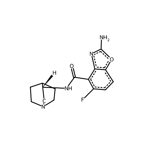 Nc1nc2c(C(=O)N[C@@H]3CN4CCC3CC4)c(F)ccc2o1